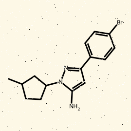 CC1CCC(n2nc(-c3ccc(Br)cc3)cc2N)C1